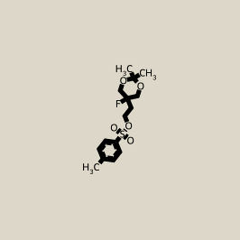 Cc1ccc(S(=O)(=O)OCCC2(F)COC(C)(C)OC2)cc1